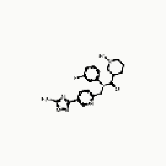 CC(C)N1CCCC(C(=O)N(Cc2ccc(-c3noc(C(F)(F)F)n3)cn2)c2cccc(F)c2)C1